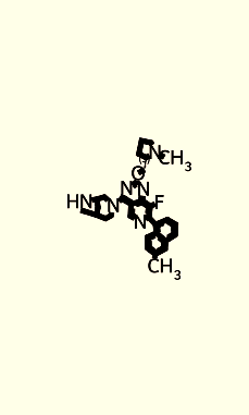 Cc1ccc2c(-c3ncc4c(N5CCC6CNC(C6)C5)nc(OC[C@@H]5CCCN5C)nc4c3F)cccc2c1